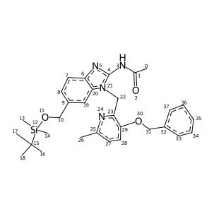 CC(=O)Nc1nc2ccc(CO[Si](C)(C)C(C)(C)C)cc2n1Cc1nc(C)ccc1OCc1ccccc1